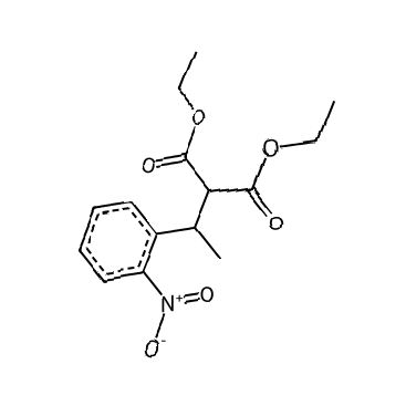 CCOC(=O)C(C(=O)OCC)C(C)c1ccccc1[N+](=O)[O-]